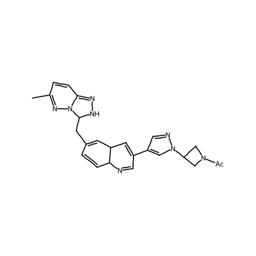 CC(=O)N1CC(n2cc(C3=CC4C=C(CC5NN=C6C=CC(C)=NN65)C=CC4N=C3)cn2)C1